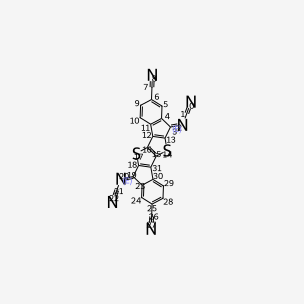 N#C/N=c1\c2cc(C#N)ccc2c2c1sc1c2sc2/c(=N/C#N)c3cc(C#N)ccc3c21